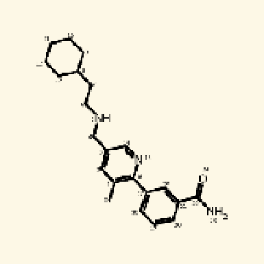 Cc1cc(CNCCC2CCCCC2)cnc1-c1cccc(C(N)=O)c1